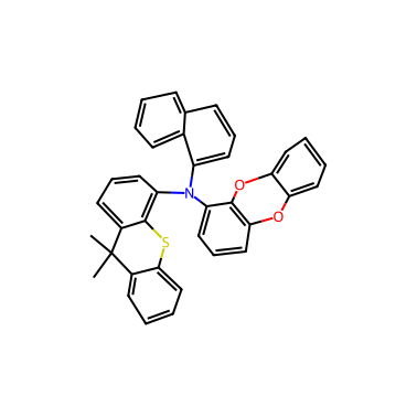 CC1(C)c2ccccc2Sc2c(N(c3cccc4c3Oc3ccccc3O4)c3cccc4ccccc34)cccc21